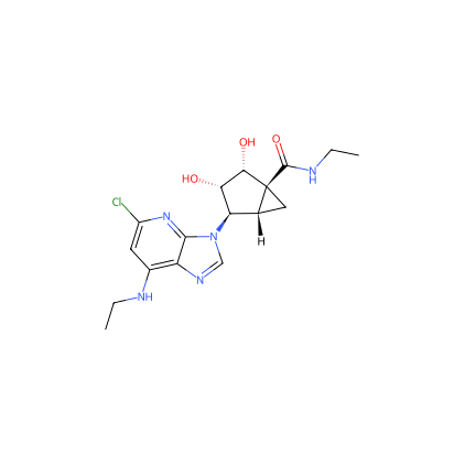 CCNC(=O)[C@@]12C[C@@H]1[C@@H](n1cnc3c(NCC)cc(Cl)nc31)[C@H](O)[C@@H]2O